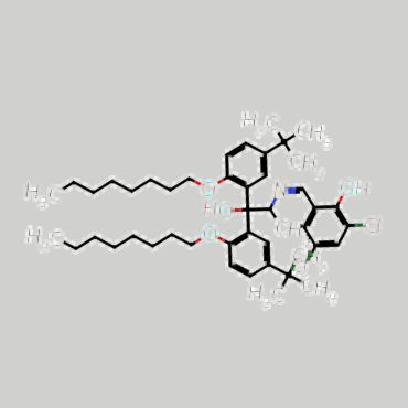 CCCCCCCCOc1ccc(C(C)(C)C)cc1C(O)(c1cc(C(C)(C)C)ccc1OCCCCCCCC)C(C)N=Cc1cc(Cl)cc(Cl)c1O